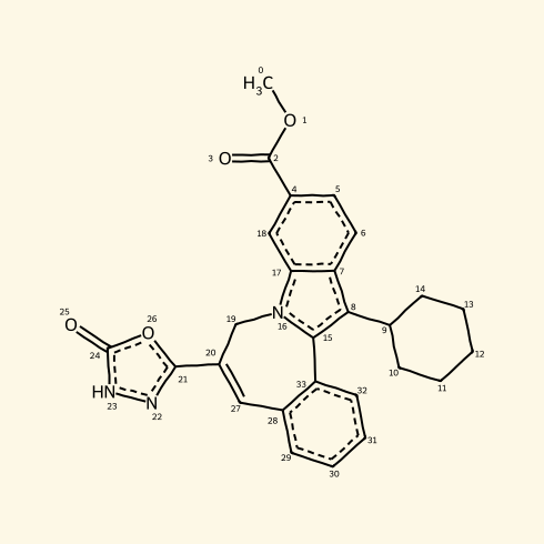 COC(=O)c1ccc2c(C3CCCCC3)c3n(c2c1)CC(c1n[nH]c(=O)o1)=Cc1ccccc1-3